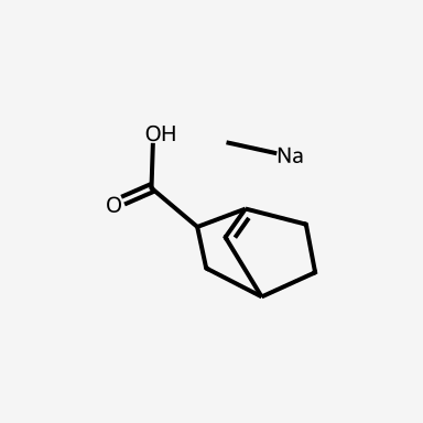 O=C(O)C1CC2C=C1CC2.[CH3][Na]